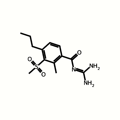 CCCc1ccc(C(=O)N=C(N)N)c(C)c1S(C)(=O)=O